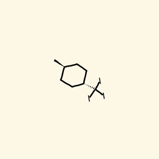 C[C@H]1CC[C@H](C(I)(I)I)CC1